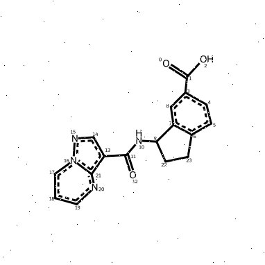 O=C(O)c1ccc2c(c1)C(NC(=O)c1cnn3cccnc13)CC2